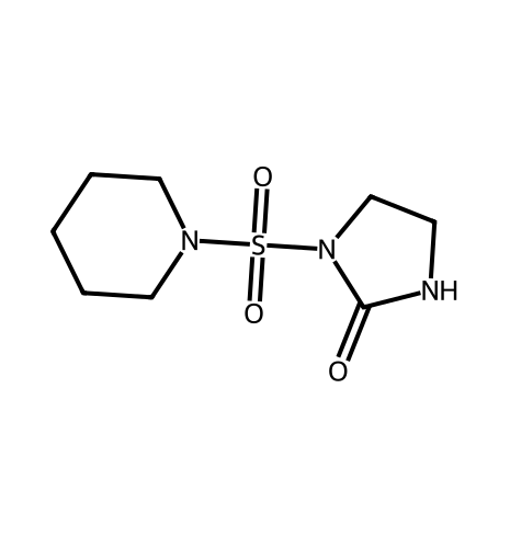 O=C1NCCN1S(=O)(=O)N1CCCCC1